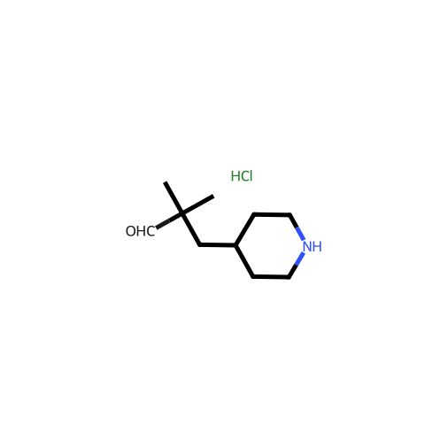 CC(C)(C=O)CC1CCNCC1.Cl